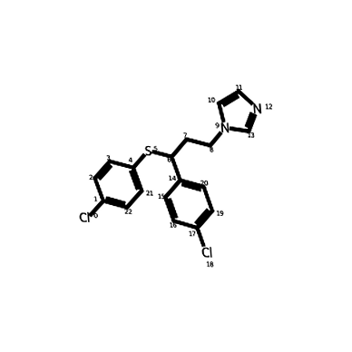 Clc1ccc(SC(CCn2ccnc2)c2ccc(Cl)cc2)cc1